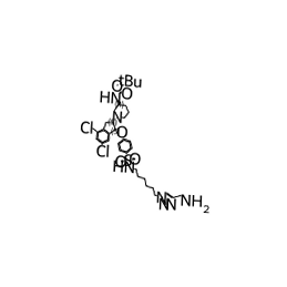 CC(C)(C)OC(=O)N[C@@H]1CCCN([C@H]2Cc3c(Cl)cc(Cl)cc3[C@@H]2Oc2ccc(S(=O)(=O)NCCCCCCn3cc(CN)nn3)cc2)C1